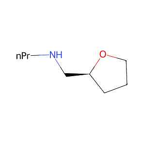 CCCNC[C@@H]1CCCO1